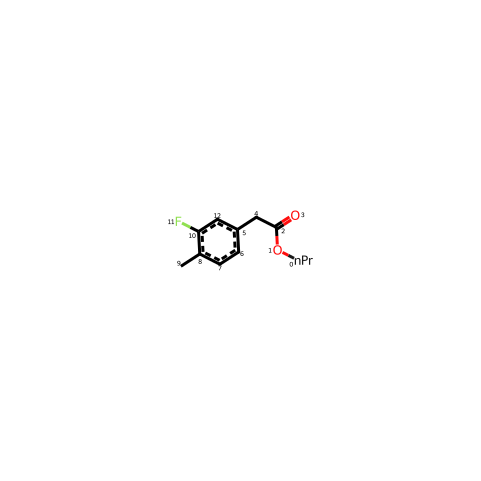 CCCOC(=O)Cc1ccc(C)c(F)c1